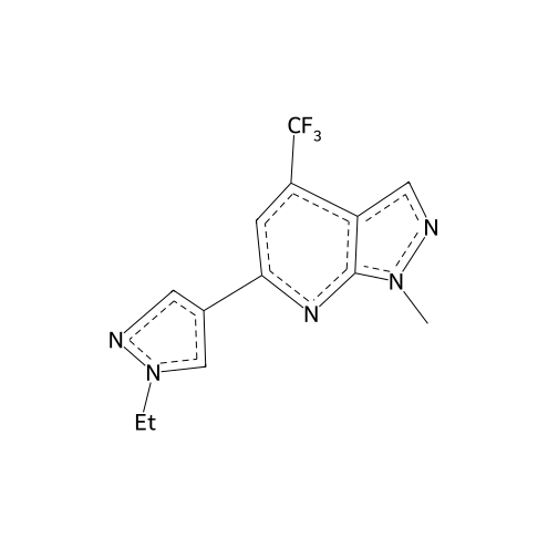 CCn1cc(-c2cc(C(F)(F)F)c3cnn(C)c3n2)cn1